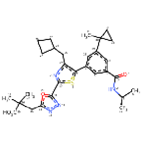 C[C@H](NC(=O)c1cc(-c2sc(-c3nnc(CC(C)(C)C(=O)O)o3)nc2CC2CCC2)cc(C2(C)CC2)c1)C(F)(F)F